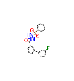 O=C(NNS(=O)(=O)c1ccccc1)c1cccc(-c2cccc(F)c2)c1